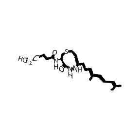 CC(C)=CCC/C(C)=C/CC/C1=C/CSC[C@H](NC(=O)CCC(=O)O)C(=O)NN1